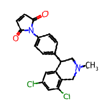 CN1Cc2c(Cl)cc(Cl)cc2C(c2ccc(N3C(=O)C=CC3=O)cc2)C1